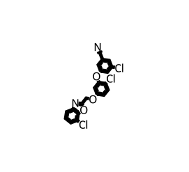 N#Cc1cc(Cl)cc(Oc2cc(OCc3nc4cccc(Cl)c4o3)ccc2Cl)c1